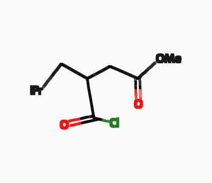 COC(=O)CC(CC(C)C)C(=O)Cl